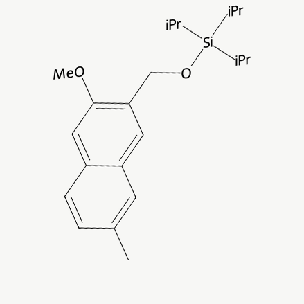 COc1cc2ccc(C)cc2cc1CO[Si](C(C)C)(C(C)C)C(C)C